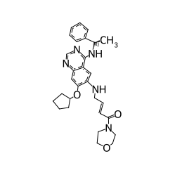 C[C@@H](Nc1ncnc2cc(OC3CCCC3)c(NCC=CC(=O)N3CCOCC3)cc12)c1ccccc1